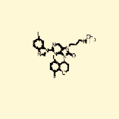 CNCCCn1c(=O)n([C@@H]2CCOc3c(F)ccc(F)c32)c2nc(-n3cnc4ccc(F)cc43)ncc21